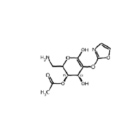 CC(=O)O[C@H]1C(CN)OC(O)=C(Oc2ncco2)[C@H]1O